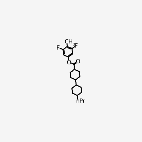 CCCC1CCC(C2CCC(C(=O)Oc3cc(F)c(C)c(F)c3)CC2)CC1